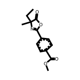 CCC1(C)N=C(c2ccc(C(=O)OC)cc2)OC1=O